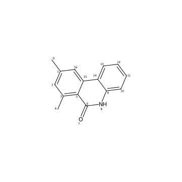 Cc1cc(C)c2c(=O)[nH]c3ccccc3c2c1